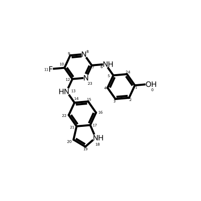 Oc1cccc(Nc2ncc(F)c(Nc3ccc4[nH]ccc4c3)n2)c1